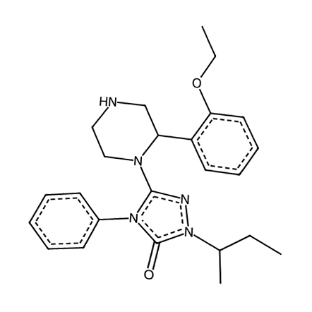 CCOc1ccccc1C1CNCCN1c1nn(C(C)CC)c(=O)n1-c1ccccc1